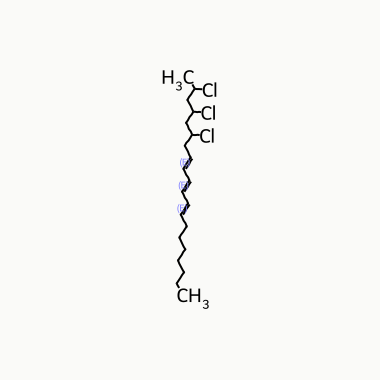 CCCCCCC/C=C/C=C/C=C/CC(Cl)CC(Cl)CC(C)Cl